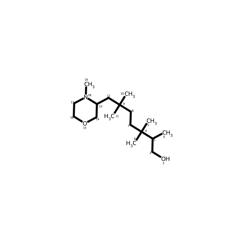 CC(CO)C(C)(C)CCC(C)(C)CC1COCCN1C